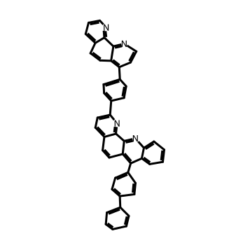 c1ccc(-c2ccc(-c3c4ccccc4nc4c3ccc3ccc(-c5ccc(-c6ccnc7c6ccc6cccnc67)cc5)nc34)cc2)cc1